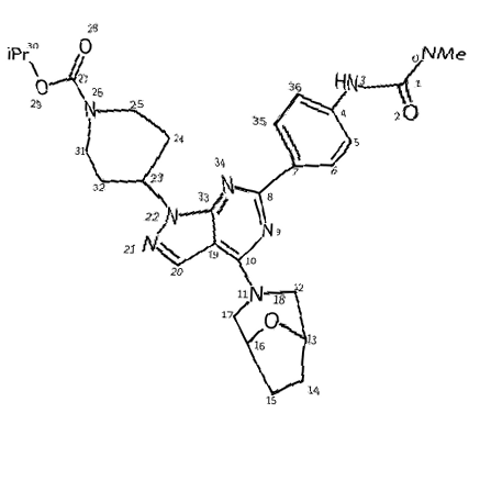 CNC(=O)Nc1ccc(-c2nc(N3CC4CCC(C3)O4)c3cnn(C4CCN(C(=O)OC(C)C)CC4)c3n2)cc1